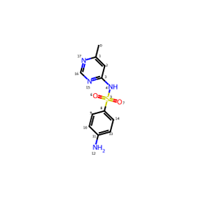 Cc1cc(NS(=O)(=O)c2ccc(N)cc2)ncn1